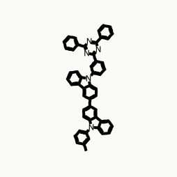 Cc1cccc(-n2c3ccccc3c3cc(-c4ccc5c(c4)c4ccccc4n5-c4cccc(-c5nc(-c6ccccc6)nc(-c6ccccc6)n5)c4)ccc32)c1